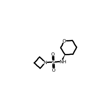 O=S(=O)(N[C@@H]1CCCOC1)N1CCC1